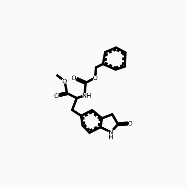 COC(=O)C(Cc1ccc2c(c1)CC(=O)N2)NC(=O)OCc1ccccc1